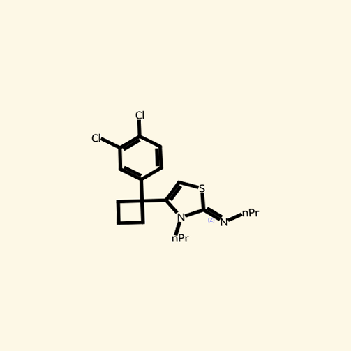 CCC/N=c1\scc(C2(c3ccc(Cl)c(Cl)c3)CCC2)n1CCC